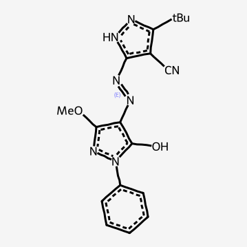 COc1nn(-c2ccccc2)c(O)c1/N=N/c1[nH]nc(C(C)(C)C)c1C#N